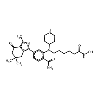 CC1(C)CC(=O)c2c(C(F)(F)F)nn(-c3ccc(C(N)=O)c(N(CCCCCC(=O)NO)C4CCNCC4)c3)c2C1